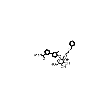 CNC(=O)c1cccc(-c2ccc(O[C@H]3O[C@H](CO)[C@@H](O)[C@H](O)[C@]3(O)COCCOCc3ccccc3)c(C)c2)c1